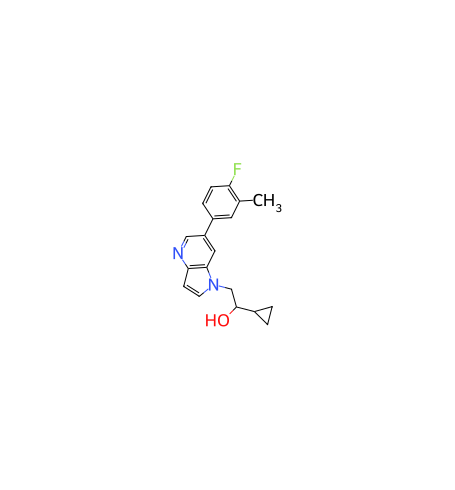 Cc1cc(-c2cnc3ccn(CC(O)C4CC4)c3c2)ccc1F